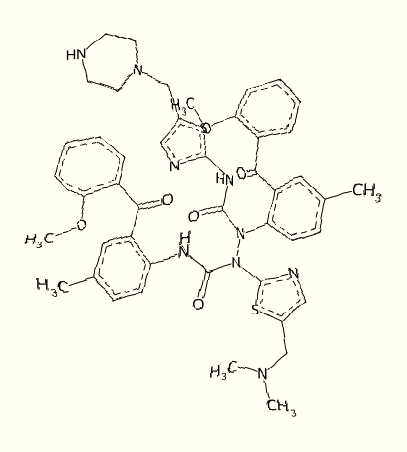 COc1ccccc1C(=O)c1cc(C)ccc1NC(=O)N(c1ncc(CN(C)C)s1)N(C(=O)Nc1ncc(CN2CCNCC2)s1)c1ccc(C)cc1C(=O)c1ccccc1OC